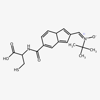 CC(C)(C)/[N+]([O-])=C\C1=CC2C=CC(C(=O)NC(CS)C(=O)O)=CC2=C1